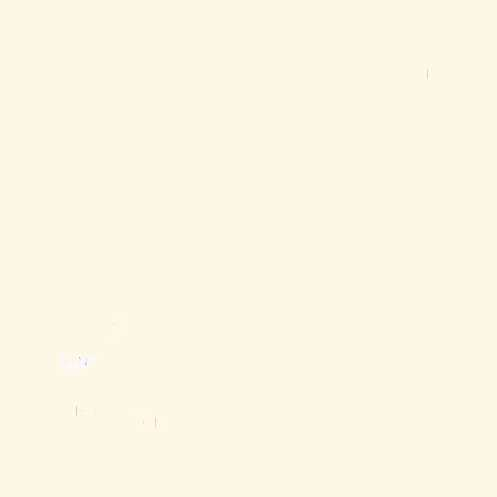 CCCCCCCCC=CCCCCCCC(C(N)=O)C(C)O